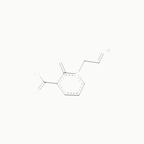 C=CCn1cccc(C(=O)O)c1=O